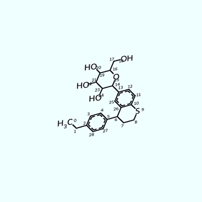 CCc1ccc(C2CCSc3ccc(C4OC(CO)C(O)C(O)C4O)cc32)cc1